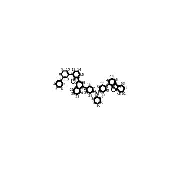 C1=C(c2ccccc2)CCC=C1c1cccc2c1oc1c3ccccc3c(-c3ccc(N(c4ccccc4)c4ccc(-c5cccc6c5oc5ccccc56)cc4)cc3)cc21